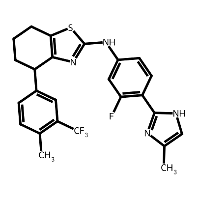 Cc1c[nH]c(-c2ccc(Nc3nc4c(s3)CCCC4c3ccc(C)c(C(F)(F)F)c3)cc2F)n1